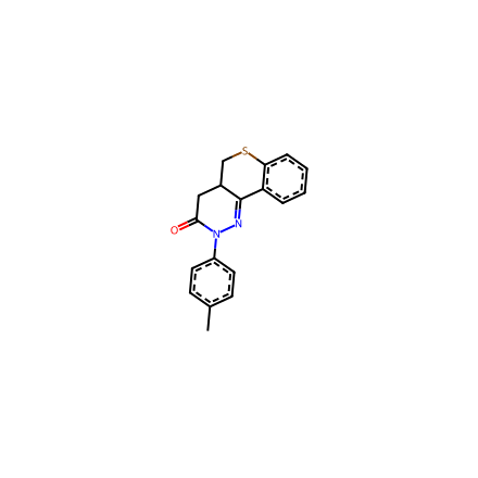 Cc1ccc(N2N=C3c4ccccc4SCC3CC2=O)cc1